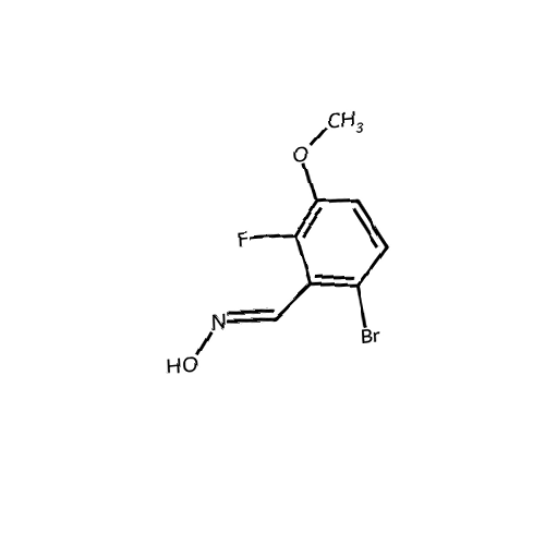 COc1ccc(Br)c(/C=N/O)c1F